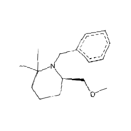 COC[C@H]1CCCC(C)(C)N1Cc1ccccc1